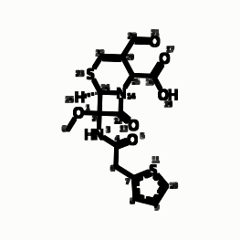 COC1(NC(=O)Cc2cccs2)C(=O)N2C(C(=O)O)C(C=O)=CS[C@@H]21